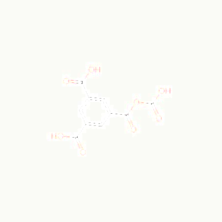 O=C(O)OC(=O)c1cc(C(=O)O)cc(C(=O)O)c1